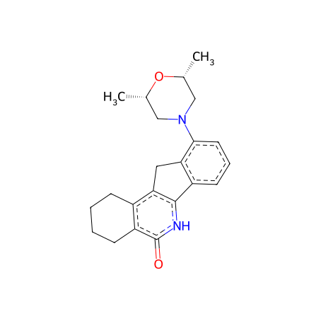 C[C@@H]1CN(c2cccc3c2Cc2c-3[nH]c(=O)c3c2CCCC3)C[C@H](C)O1